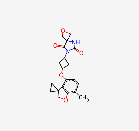 Cc1ccc(OC2CC(N3C(=O)NC4(COC4)C3=O)C2)c2c1OCC21CC1